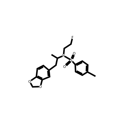 Cc1ccc(S(=O)(=O)N(CCF)C(C)Cc2ccc3c(c2)OCO3)cc1